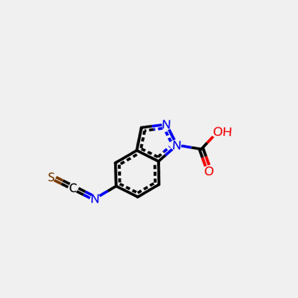 O=C(O)n1ncc2cc(N=C=S)ccc21